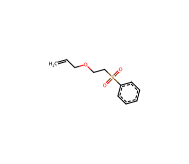 C=CCOCCS(=O)(=O)c1[c]cccc1